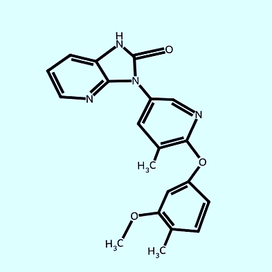 COc1cc(Oc2ncc(-n3c(=O)[nH]c4cccnc43)cc2C)ccc1C